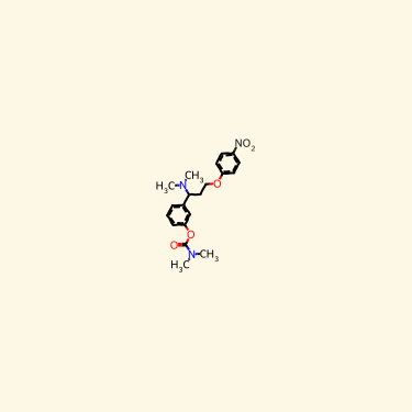 CN(C)C(=O)Oc1cccc(C(CCOc2ccc([N+](=O)[O-])cc2)N(C)C)c1